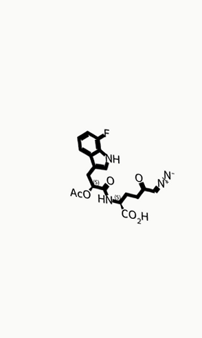 CC(=O)O[C@@H](Cc1c[nH]c2c(F)cccc12)C(=O)N[C@@H](CCC(=O)C=[N+]=[N-])C(=O)O